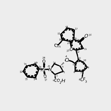 O=C(O)[C@@H]1C[C@@H](Oc2cc(C(F)(F)F)ccc2-c2cc(=O)c3cccc(Cl)c3o2)CN1S(=O)(=O)c1ccccc1